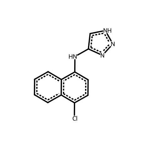 Clc1ccc(Nc2c[nH]nn2)c2ccccc12